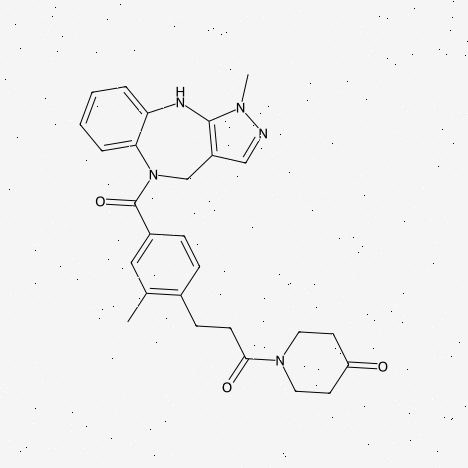 Cc1cc(C(=O)N2Cc3cnn(C)c3Nc3ccccc32)ccc1CCC(=O)N1CCC(=O)CC1